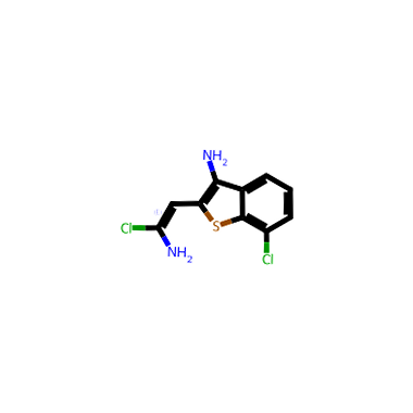 N/C(Cl)=C\c1sc2c(Cl)cccc2c1N